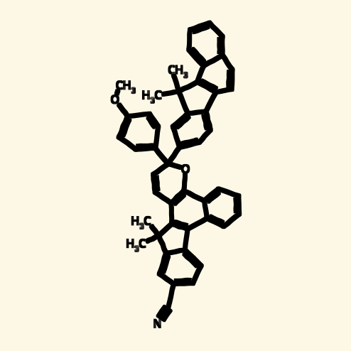 COc1ccc(C2(c3ccc4c(c3)C(C)(C)c3c-4ccc4ccccc34)C=Cc3c4c(c5ccccc5c3O2)-c2ccc(C#N)cc2C4(C)C)cc1